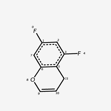 Fc1cc(F)c2c(c1)OC=CC2